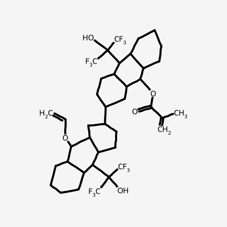 C=COC1C2CCCCC2C(C(O)(C(F)(F)F)C(F)(F)F)C2CCC(C3CCC4C(C3)C(OC(=O)C(=C)C)C3CCCCC3C4C(O)(C(F)(F)F)C(F)(F)F)CC21